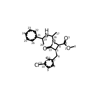 COC(=O)C1[C@@H](Cc2ccc(Cl)s2)C(=O)N1C(C)NC(C)c1ccccc1